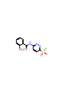 O=C(O)c1ccccc1C(=O)Nc1ccc(S(=O)(=O)Cl)nn1